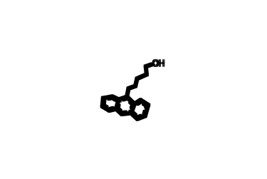 OCCCCCc1c2ccccc2cc2ccccc12